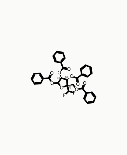 O=C(OC[C@@]1(C(F)F)OC(OC(=O)c2ccccc2)[C@H](OC(=O)c2ccccc2)[C@@H]1OC(=O)c1ccccc1)c1ccccc1